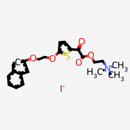 C[N+](C)(C)CCOC(=O)C(=O)c1ccc(OCCOc2ccc3ccccc3c2)s1.[I-]